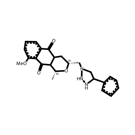 COc1cccc2c1C(=O)C1C(C[C@H](CN3CC(c4ccccc4)NN3)O[C@@H]1C)C2=O